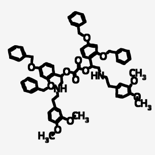 COc1ccc(CCNCC(OC(=O)C(=O)OC(CNCCc2ccc(OC)c(OC)c2)c2ccc(OCc3ccccc3)cc2OCc2ccccc2)c2ccc(OCc3ccccc3)cc2OCc2ccccc2)cc1OC